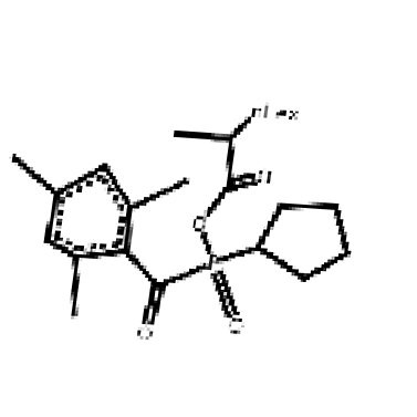 CCCCCCC(C)C(=O)OP(=O)(C(=O)c1c(C)cc(C)cc1C)C1CCCC1